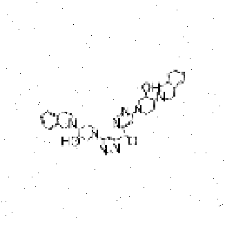 O=C(c1cc(N2CC[C@@H](N3CCc4ccccc4C3)[C@H](O)C2)ncn1)c1cc(N2CC[C@@H](N3CCc4ccccc4C3)[C@H](O)C2)ncn1